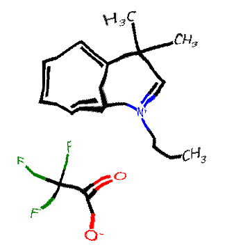 CC[N+]1=CC(C)(C)c2ccccc21.O=C([O-])C(F)(F)F